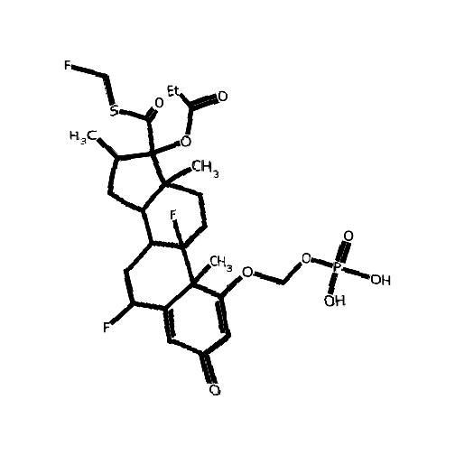 CCC(=O)OC1(C(=O)SCF)C(C)CC2C3CC(F)C4=CC(=O)C=C(OCOP(=O)(O)O)C4(C)C3(F)CCC21C